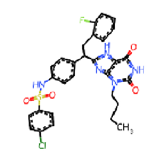 CCCCn1c(=O)[nH]c(=O)c2[nH]c(C(Cc3ccccc3F)c3ccc(NS(=O)(=O)c4ccc(Cl)cc4)cc3)nc21